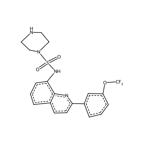 O=S(=O)(Nc1cccc2ccc(-c3cccc(OC(F)(F)F)c3)nc12)N1CCNCC1